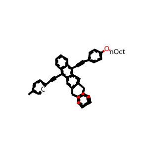 CCCCCCCCOc1ccc(C#Cc2c3ccccc3c(C#Cc3ccc(C)cc3)c3cc4c(cc23)C2c3ccccc3C4c3ccccc32)cc1